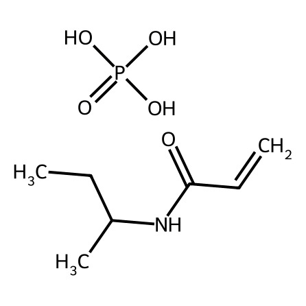 C=CC(=O)NC(C)CC.O=P(O)(O)O